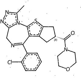 Cc1nnc2n1-c1sc3c(c1C(c1ccccc1Cl)=NC2)C[C@@H](C(=O)N1CCOCC1)C3